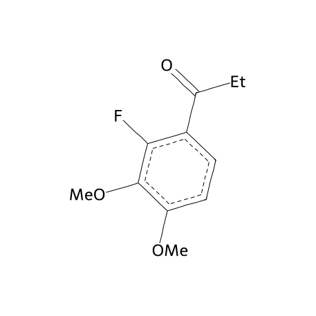 CCC(=O)c1ccc(OC)c(OC)c1F